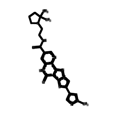 Cn1cc(-c2cn3nc4c5ncc(C(=O)NCCN6CCCC6(C)C)cc5[nH]c(=O)c4c3s2)cn1